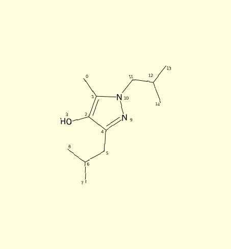 Cc1c(O)c(CC(C)C)nn1CC(C)C